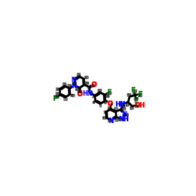 O=C(Nc1ccc(Oc2ccnc3[nH]nc(NC(CO)CC(F)(F)F)c23)c(F)c1)c1ccnn(-c2ccc(F)cc2)c1=O